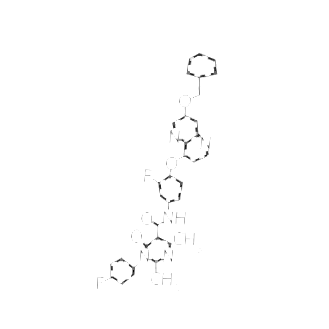 Cc1nc(C)n(-c2ccc(F)cc2)c(=O)c1C(=O)Nc1ccc(Oc2ccnc3cc(OCc4ccccc4)cnc23)c(F)c1